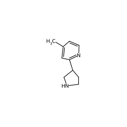 Cc1ccnc(C2CCNC2)c1